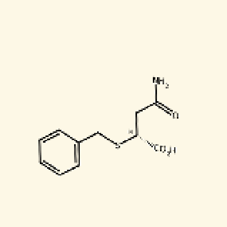 NC(=O)C[C@@H](SCc1ccccc1)C(=O)O